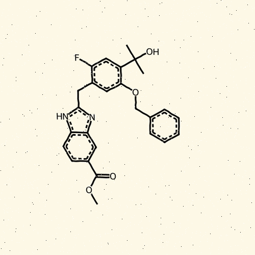 COC(=O)c1ccc2[nH]c(Cc3cc(OCc4ccccc4)c(C(C)(C)O)cc3F)nc2c1